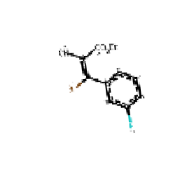 [C-]#[N+]C(C(=O)OCC)=C(Br)c1cccc(F)c1